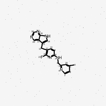 Cc1ccnc(CNc2ccc(Cc3c[nH]c4ncncc34)c(F)n2)c1